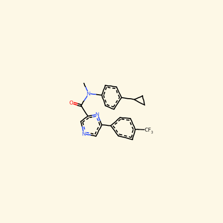 CN(C(=O)c1cncc(-c2ccc(C(F)(F)F)cc2)n1)c1ccc(C2CC2)cc1